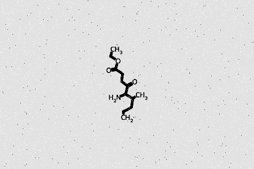 [CH2]CCC(C)C(N)C(=O)CCC(=O)OCC